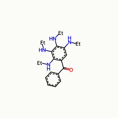 CCNc1cc(C(=O)c2ccccc2)c(NCC)c(NCC)c1NCC